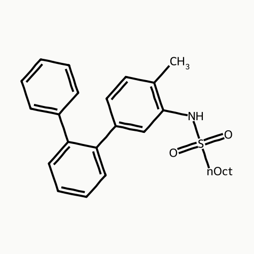 CCCCCCCCS(=O)(=O)Nc1cc(-c2ccccc2-c2ccccc2)ccc1C